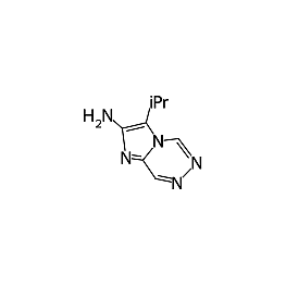 CC(C)c1c(N)nc2cnncn12